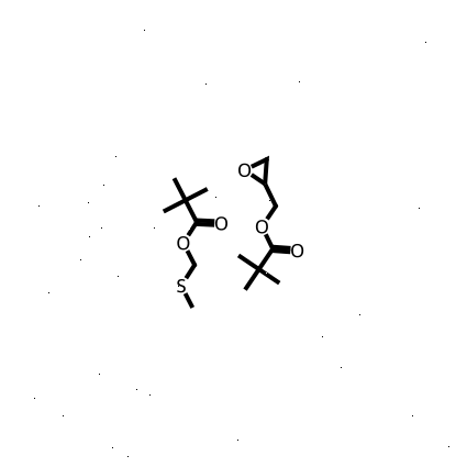 CC(C)(C)C(=O)OCC1CO1.CSCOC(=O)C(C)(C)C